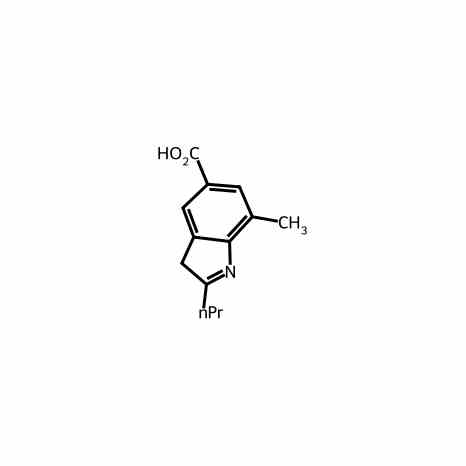 CCCC1=Nc2c(C)cc(C(=O)O)cc2C1